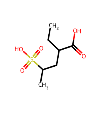 CCC(CC(C)S(=O)(=O)O)C(=O)O